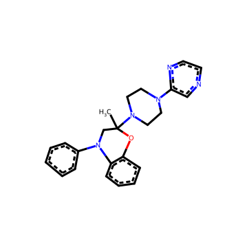 CC1(N2CCN(c3cnccn3)CC2)CN(c2ccccc2)c2ccccc2O1